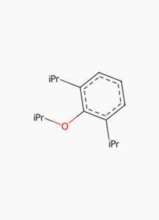 CC(C)Oc1c(C(C)C)cccc1C(C)C